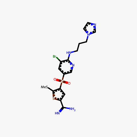 CSc1sc(C(=N)N)cc1S(=O)(=O)c1cnc(NCCCn2ccnc2)c(Br)c1